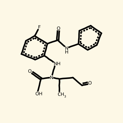 CC(CC=O)N(Nc1cccc(F)c1C(=O)Nc1ccccc1)C(=O)O